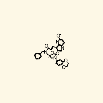 COc1ccc2nccc(C=CC(=O)N(Cc3ccccc3)C[C@@H]3CN(c4ccc5c(c4)OCCO5)C(=O)O3)c2n1